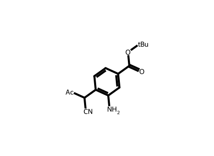 CC(=O)C(C#N)c1ccc(C(=O)OC(C)(C)C)cc1N